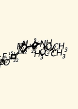 CC(C)(C)OC(=O)NC12CC(c3cn([C@H]4C[C@@H](OC(F)(F)F)C4)nn3)(C1)C2